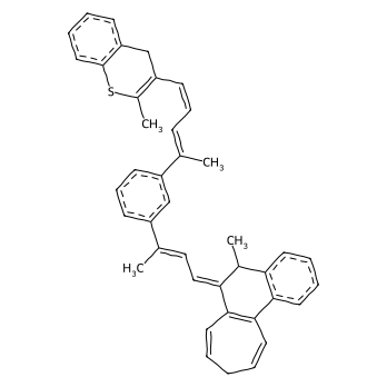 CC1=C(/C=C\C=C(/C)c2cccc(/C(C)=C/C=C3/C4=C(C=CCC=C4)c4ccccc4C3C)c2)Cc2ccccc2S1